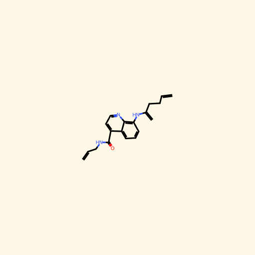 C=CCCC(=C)Nc1cccc2c(C(=O)NCC=C)ccnc12